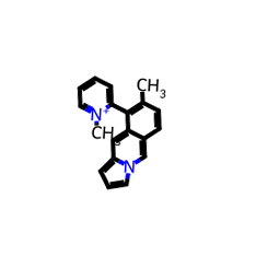 Cc1ccc2cn3cccc3cc2c1-c1cccc[n+]1C